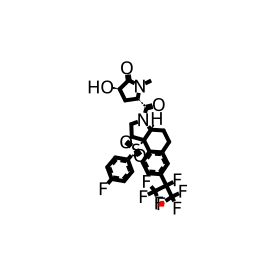 CN1C(=O)[C@@H](O)C[C@H]1C(=O)N1CC[C@]2(S(=O)(=O)c3ccc(F)cc3)c3ccc(C(F)(C(F)(F)F)C(F)(F)F)cc3CC[C@H]12